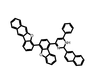 C1=C(c2ccccc2)NC(c2ccc3ccccc3c2)N=C1c1ccc(-c2cccc3c2oc2cc4ccccc4cc23)c2oc3ccccc3c12